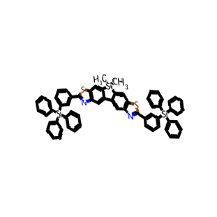 C[Si]1(C)c2cc3sc(-c4cccc([Si](c5ccccc5)(c5ccccc5)c5ccccc5)c4)nc3cc2-c2cc3nc(-c4cccc([Si](c5ccccc5)(c5ccccc5)c5ccccc5)c4)sc3cc21